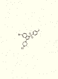 CCN1CCN(c2cn(S(=O)(=O)c3ccc(F)cc3)c3ccc(Br)cc23)CC1